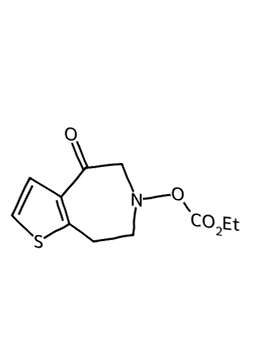 CCOC(=O)ON1CCc2sccc2C(=O)C1